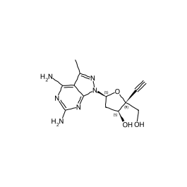 C#C[C@]1(CO)O[C@H](n2nc(C)c3c(N)nc(N)nc32)C[C@@H]1O